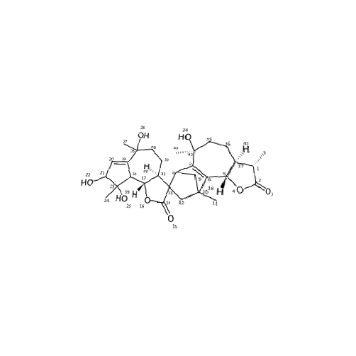 C[C@@H]1C(=O)O[C@@H]2C3=C(C4CC3(C)CC43C(=O)O[C@@H]4C5C(=CC(O)C5(C)O)C(C)(O)CC[C@H]43)[C@@](C)(O)CC[C@@H]12